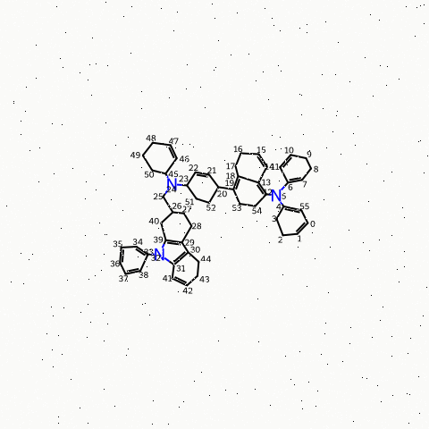 C1=CCCC(N(C2=CCCC=C2)C2=C3C=CCCC3=C(C3C=CC(N(CC4CCc5c6c(n(-c7ccccc7)c5C4)C=CCC6)C4C=CCCC4)CC3)CC2)=C1